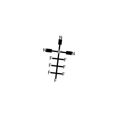 N#C[B-](C#N)(C#N)C(F)(F)C(F)(F)C(F)(F)F